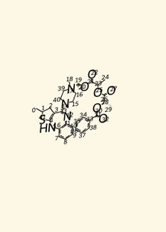 CC1CC2=C(Nc3ccccc3N=C2N2CC[N+](C)(COC(=O)C(C)OC(=O)[C@H](C)OC(=O)c3ccccc3)CC2)S1